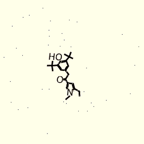 CCc1cc(C(=O)Cc2cc(C(C)(C)C)c(O)c(C(C)(C)C)c2)cn1CC